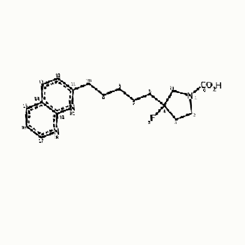 O=C(O)N1CCC(F)(CCCCCc2ccc3cccnc3n2)C1